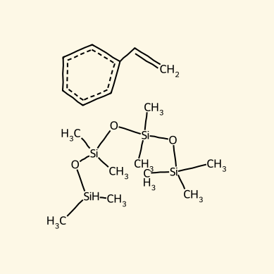 C=Cc1ccccc1.C[SiH](C)O[Si](C)(C)O[Si](C)(C)O[Si](C)(C)C